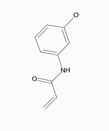 C=CC(=O)Nc1cccc([O])c1